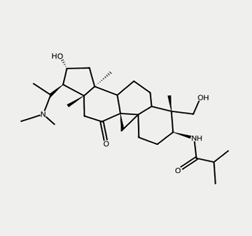 CC(C)C(=O)N[C@H]1CCC23C[C@]24C(=O)C[C@]2(C)[C@@H](C(C)N(C)C)[C@H](O)C[C@@]2(C)C4CCC3[C@]1(C)CO